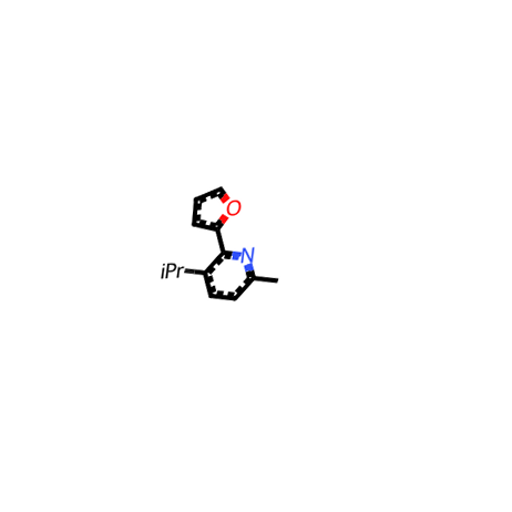 Cc1ccc(C(C)C)c(-c2ccco2)n1